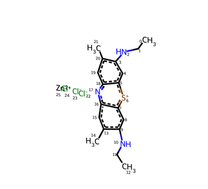 CCNc1cc2[s+]c3cc(NCC)c(C)cc3nc2cc1C.[Cl-].[Cl-].[Cl-].[Zn+2]